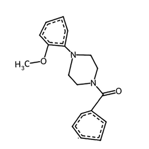 COc1ccccc1N1CCN(C(=O)c2cc[c]cc2)CC1